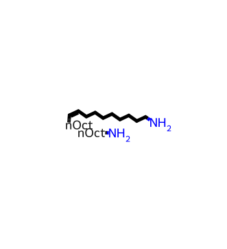 CCCCCCCC/C=C\CCCCCCCCN.CCCCCCCCN